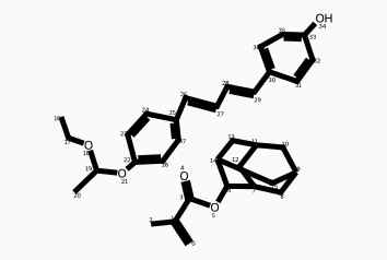 C=C(C)C(=O)OC1C2CC3CC(C2)CC1C3.CCOC(C)Oc1ccc(C=CC=Cc2ccc(O)cc2)cc1